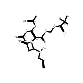 C=CC[S+]([O-])C1CC(=O)N1C(C(=O)OCOC(=O)C(C)(C)C)=C(SC(C)=O)SC(C)=O